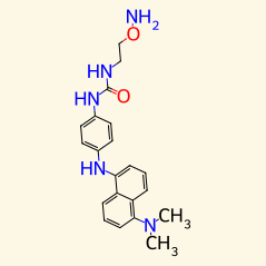 CN(C)c1cccc2c(Nc3ccc(NC(=O)NCCON)cc3)cccc12